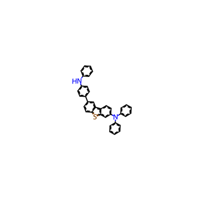 c1ccc(Nc2ccc(-c3ccc4sc5cc(N(c6ccccc6)c6ccccc6)ccc5c4c3)cc2)cc1